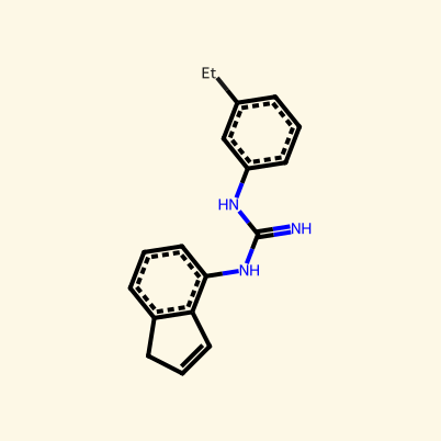 CCc1cccc(NC(=N)Nc2cccc3c2C=CC3)c1